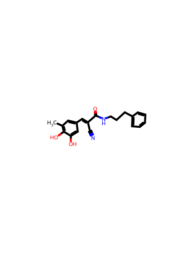 Cc1cc(/C=C(\C#N)C(=O)NCCCc2ccccc2)cc(O)c1O